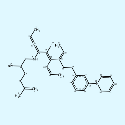 C=C(C)CCC(CCC)CNC(=C=CC)/C(F)=C(\N=C/C)C(=C\C)/CCc1cccc(N2C=CC=CC2)c1